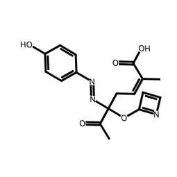 CC(=O)C(CC=C(C)C(=O)O)(N=Nc1ccc(O)cc1)OC1=NC=C1